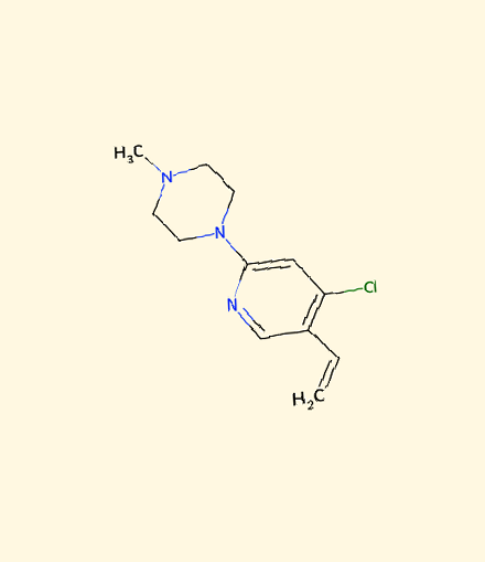 C=Cc1cnc(N2CCN(C)CC2)cc1Cl